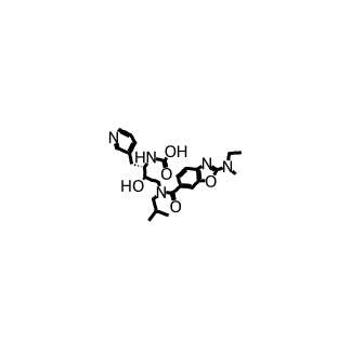 CCN(C)c1nc2ccc(C(=O)N(CC(C)C)C[C@@H](O)[C@H](Cc3cccnc3)NC(=O)O)cc2o1